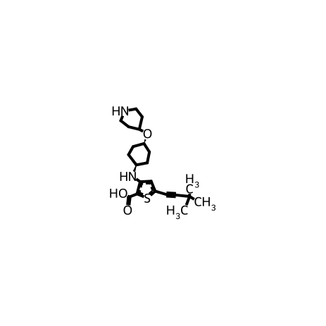 CC(C)(C)C#Cc1cc(N[C@H]2CC[C@H](OC3CCNCC3)CC2)c(C(=O)O)s1